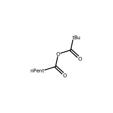 CCCCCC(=O)OC(=O)C(C)(C)C